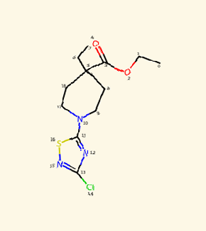 CCOC(=O)C1(CC)CCN(c2nc(Cl)ns2)CC1